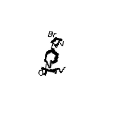 N#CC1(N2CCC(n3cc(Br)cn3)CC2)COC1